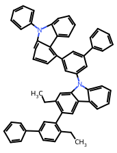 CCc1ccc(-c2ccccc2)cc1-c1cc2c3ccccc3n(-c3cc(-c4ccccc4)cc(-c4cccc5c4c4ccccc4n5-c4ccccc4)c3)c2cc1CC